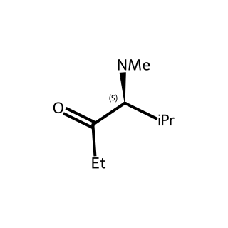 CCC(=O)[C@@H](NC)C(C)C